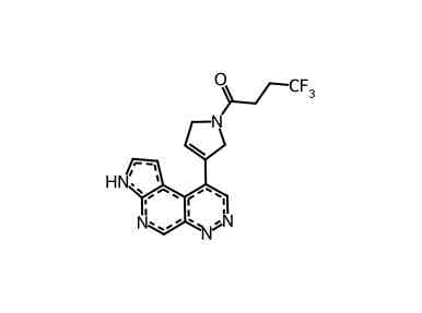 O=C(CCC(F)(F)F)N1CC=C(c2cnnc3cnc4[nH]ccc4c23)C1